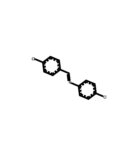 Clc1ccc(C=Nc2ccc(Cl)cc2)cc1